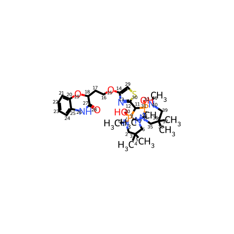 CN1CC(C)(C)CN(C)[P]1(O)C(c1nc(OCCC2Oc3ccccc3NC2=O)cs1)[P]1(O)N(C)CC(C)(C)CN1C